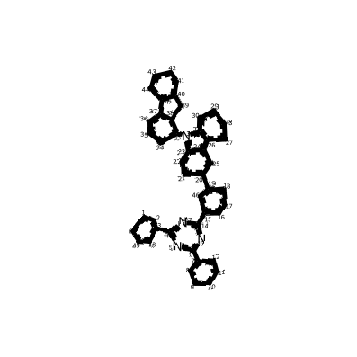 c1ccc(-c2nc(-c3ccccc3)nc(-c3cccc(-c4ccc5c(c4)c4ccccc4n5-c4cccc5c4Cc4ccccc4-5)c3)n2)cc1